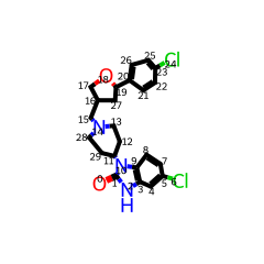 O=c1[nH]c2cc(Cl)ccc2n1C1CCN(CC2COC(c3ccc(Cl)cc3)C2)CC1